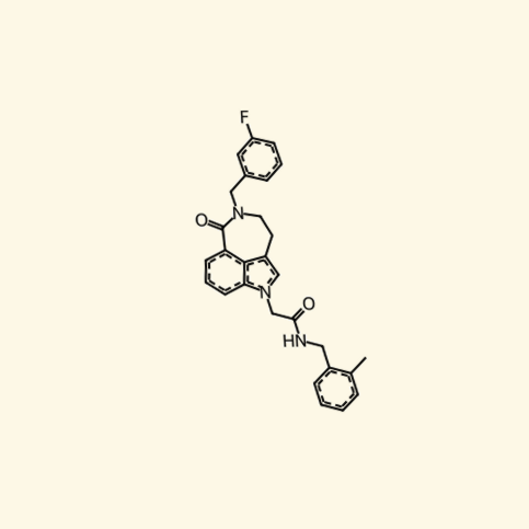 Cc1ccccc1CNC(=O)Cn1cc2c3c(cccc31)C(=O)N(Cc1cccc(F)c1)CC2